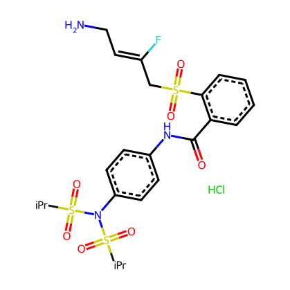 CC(C)S(=O)(=O)N(c1ccc(NC(=O)c2ccccc2S(=O)(=O)C/C(F)=C/CN)cc1)S(=O)(=O)C(C)C.Cl